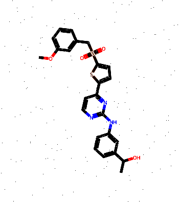 COc1cccc(CS(=O)(=O)c2ccc(-c3ccnc(Nc4cccc(C(C)O)c4)n3)s2)c1